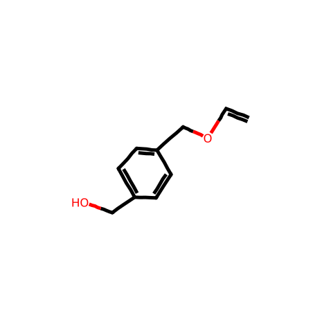 C=COCc1ccc(CO)cc1